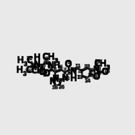 C[C@H](NC(=O)c1cc(C(=O)NCc2ccc3oc(=O)n(C)c3c2)nc2ccnn12)C(=O)NC(C)(C)C